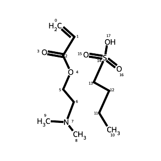 C=CC(=O)OCCN(C)C.CCCCS(=O)(=O)O